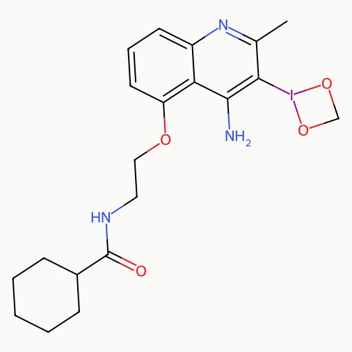 Cc1nc2cccc(OCCNC(=O)C3CCCCC3)c2c(N)c1I1OCO1